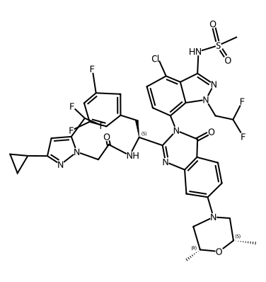 C[C@@H]1CN(c2ccc3c(=O)n(-c4ccc(Cl)c5c(NS(C)(=O)=O)nn(CC(F)F)c45)c([C@H](Cc4cc(F)cc(F)c4)NC(=O)Cn4nc(C5CC5)cc4C(F)F)nc3c2)C[C@H](C)O1